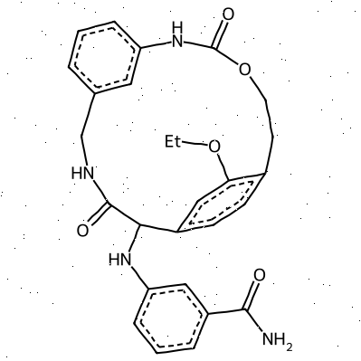 CCOc1cc2ccc1CCOC(=O)Nc1cccc(c1)CNC(=O)C2Nc1cccc(C(N)=O)c1